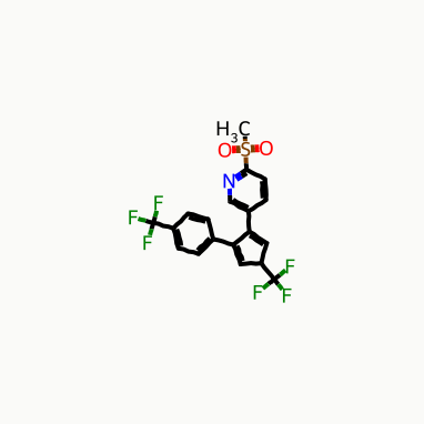 CS(=O)(=O)c1ccc(C2=CC(C(F)(F)F)C=C2c2ccc(C(F)(F)F)cc2)cn1